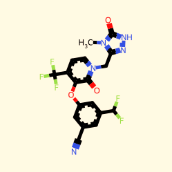 Cn1c(Cn2ccc(C(F)(F)F)c(Oc3cc(C#N)cc(C(F)F)c3)c2=O)n[nH]c1=O